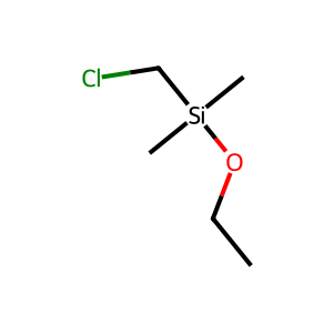 CCO[Si](C)(C)CCl